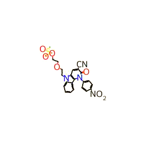 CS(=O)(=O)OCCOCCn1c2ccccc2c2c1cc(C#N)c(=O)n2-c1ccc([N+](=O)[O-])cc1